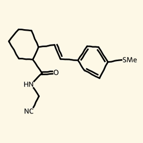 CSc1ccc(C=CC2CCCCC2C(=O)NCC#N)cc1